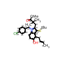 CC=CCc1c(O)ccc2c1c(SC(C)(C)C)c(CC(C)(C)C(=O)OC)n2Cc1ccc(Cl)cc1